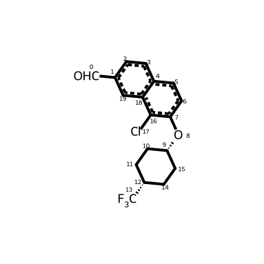 O=Cc1ccc2ccc(O[C@H]3CC[C@@H](C(F)(F)F)CC3)c(Cl)c2c1